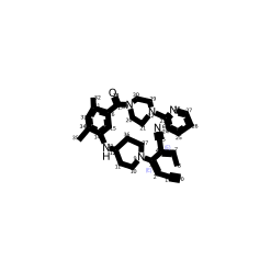 C#C/C=C(\C(C#N)=C/C)N1CCC(Nc2cc(C(=O)N3CCN(c4ccccn4)CC3)c(C)cc2C)CC1